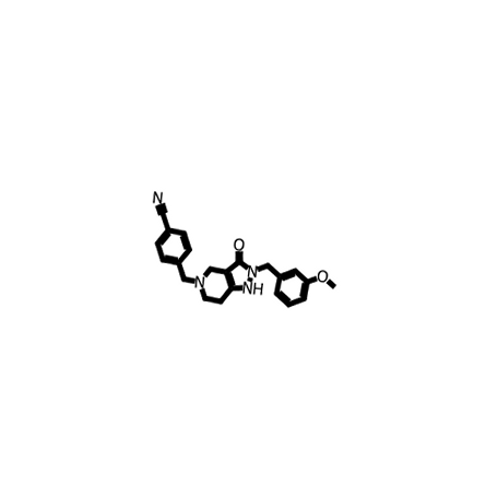 COc1cccc(Cn2[nH]c3c(c2=O)CN(Cc2ccc(C#N)cc2)CC3)c1